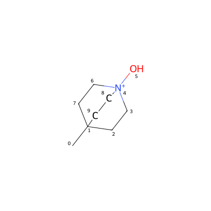 CC12CC[N+](O)(CC1)CC2